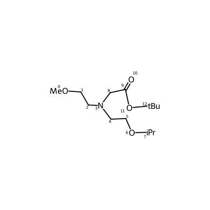 COCCN(CCOC(C)C)CC(=O)OC(C)(C)C